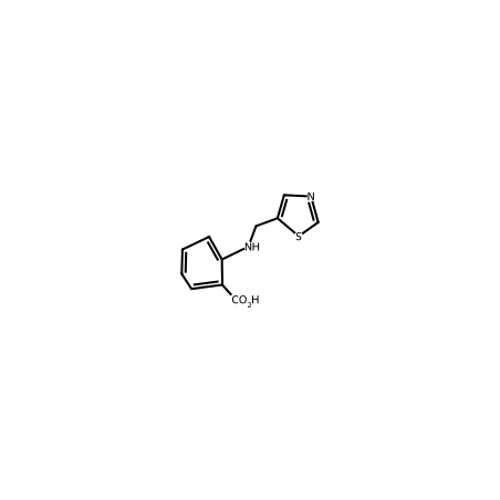 O=C(O)c1ccccc1NCc1cncs1